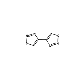 [c]1nscc1-c1csnn1